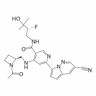 CC(=O)N1CC[C@H]1CNc1cc(-c2ccc3cc(C#N)cnn23)ncc1C(=O)NC[C@@H](F)C(C)(C)O